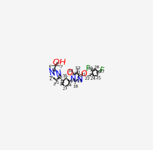 Cc1cnc(C(C)(C)O)nc1-c1cccc(-n2c(C)nc(OCc3ccc(F)cc3F)c(C)c2=O)c1